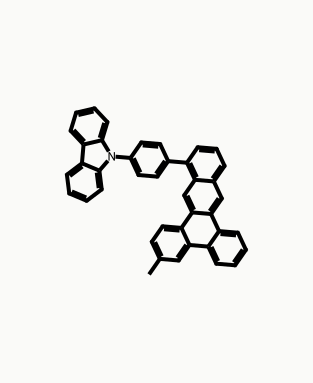 Cc1ccc2c(c1)c1ccccc1c1cc3cccc(-c4ccc(-n5c6ccccc6c6ccccc65)cc4)c3cc21